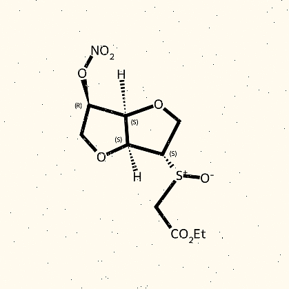 CCOC(=O)C[S+]([O-])[C@H]1CO[C@H]2[C@@H]1OC[C@H]2O[N+](=O)[O-]